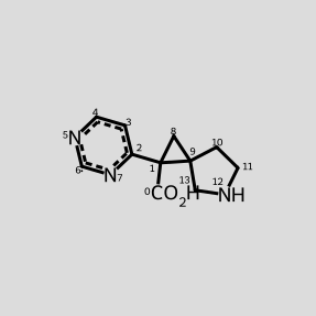 O=C(O)C1(c2ccn[c]n2)CC12CCNC2